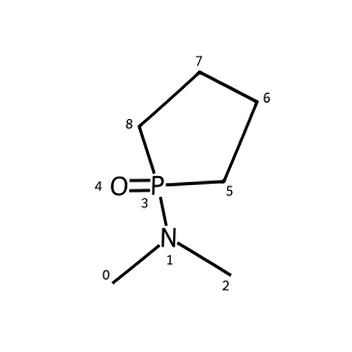 CN(C)P1(=O)CCCC1